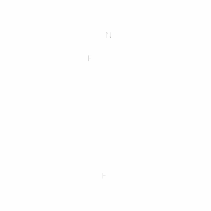 N#Cc1ccc(-c2ccc(C3CCC(C=CF)CC3)cc2)cc1F